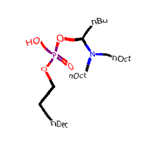 CCCCCCCCCCCCOP(=O)(O)OC(CCCC)N(CCCCCCCC)CCCCCCCC